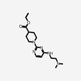 CCOC(=O)C1CCN(c2nccc(NCCN(C)C)n2)CC1